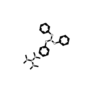 CN(C)P(N(C)C)N(C)C.c1ccc(OP(Oc2ccccc2)Oc2ccccc2)cc1